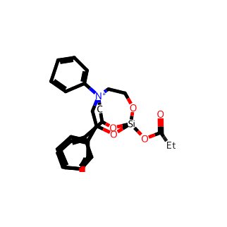 CCC(=O)O[Si]12OCC[N+](c3ccccc3)(CC(c3ccccc3)O1)CC(c1ccccc1)O2